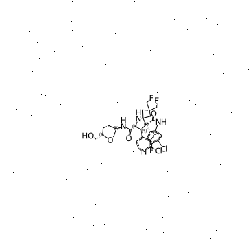 O=C(N[C@@H]1CC[C@@H](CO)OC1)[C@@H]1NC2(CC(CF)(CF)C2)[C@@]2(C(=O)Nc3cc(Cl)c(F)cc32)[C@H]1c1ccnc(Cl)c1F